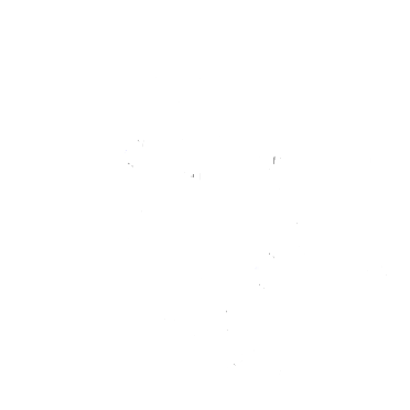 Cc1ccc(/N=N/c2c(O)c(C(=O)O)cc3ccccc23)c(S(=O)(=O)[O-])c1.Cc1ccc(/N=N/c2c(O)c(C(=O)O)cc3ccccc23)c(S(=O)(=O)[O-])c1.[Ca+2]